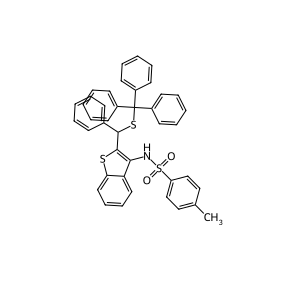 Cc1ccc(S(=O)(=O)Nc2c(C(SC(c3ccccc3)(c3ccccc3)c3ccccc3)c3ccccc3)sc3ccccc23)cc1